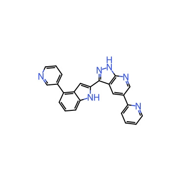 c1ccc(-c2cnc3[nH]nc(-c4cc5c(-c6cccnc6)cccc5[nH]4)c3c2)nc1